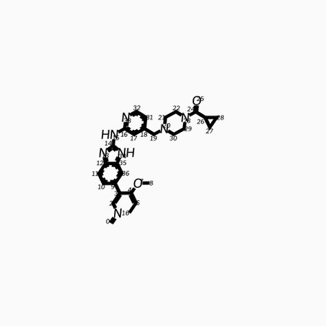 C=N/C=C(\C(=C/C)OC)c1ccc2nc(Nc3cc(CN4CCN(C(=O)C5CC5)CC4)ccn3)[nH]c2c1